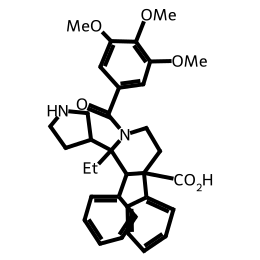 CCC1(C2CCNC2)C(c2ccccc2)C(C(=O)O)(c2ccccc2)CCN1C(=O)c1cc(OC)c(OC)c(OC)c1